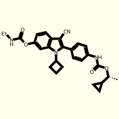 CCNC(=O)Oc1ccc2c(C#N)c(-c3ccc(NC(=O)O[C@H](C)C4CC4)cc3)n(C3CCC3)c2c1